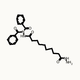 NNC(=O)CCCCCCCCC(=O)NN(C(=O)c1ccccc1)C(=O)c1ccccc1